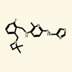 Cc1nc(SNc2cscn2)ccc1NCc1c(F)cccc1CN1CCC1(C)C